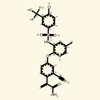 C=C(C(N)=O)c1ccc(Oc2ncc(C)cc2NS(=O)(=O)c2ccc(Cl)c(C(F)(F)F)c2)cc1C#N